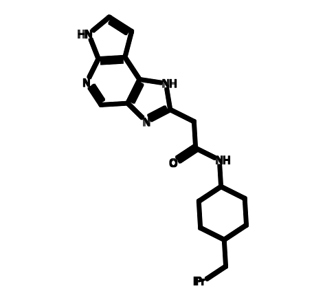 CC(C)CC1CCC(NC(=O)Cc2nc3cnc4[nH]ccc4c3[nH]2)CC1